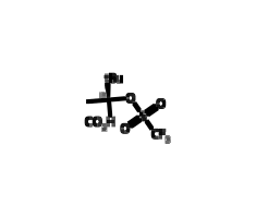 CC(C)(C)[C@@](C)(OS(=O)(=O)C(F)(F)F)C(=O)O